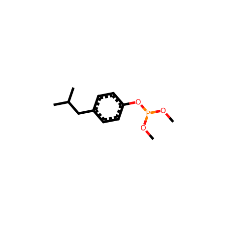 COP(OC)Oc1ccc(CC(C)C)cc1